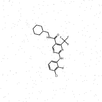 O=C(NCC1CCCCC1)c1cnc(Nc2cccc(Cl)c2F)nc1C(F)(F)F